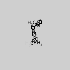 Cc1c(-c2cccc(N3CCN(C(=O)CN(C)C)CC3)c2)nc2ccccn12